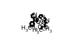 Cc1ccc(-n2c(=O)n([C@H]3CCN(Cc4ncc(C(=O)OC(C)(C)C)n4C)C3)c3ncccc32)cc1